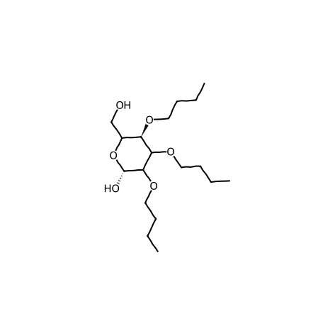 CCCCOC1C(OCCCC)[C@H](O)OC(CO)[C@H]1OCCCC